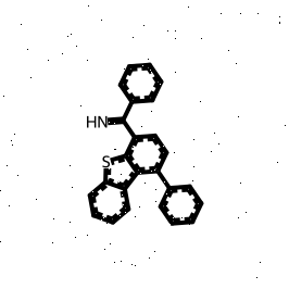 N=C(c1ccccc1)c1ccc(-c2ccccc2)c2c1sc1ccccc12